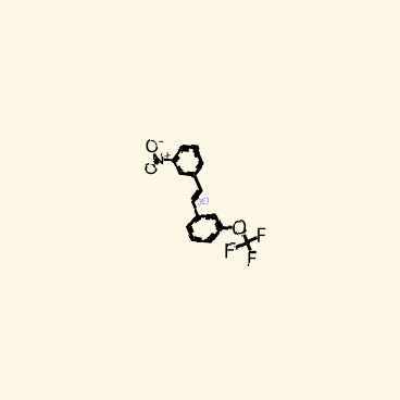 O=[N+]([O-])c1cccc(/C=C/c2cccc(OC(F)(F)F)c2)c1